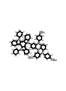 CC(C)(C)c1ccc(N2c3ccc(C(C)(C)C)cc3B3c4ccc(-n5c6ccccc6c6c7c(c8ccccc8n7-c7ccccc7)c7c(c8ccccc8n7-c7ccccc7)c65)cc4N(c4ccc(C(C)(C)C)cc4)c4cccc2c43)cc1